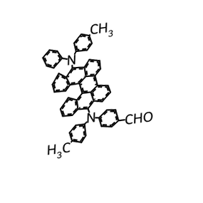 Cc1ccc(N(c2ccccc2)c2c3ccccc3c3c4c2cccc4c2cccc4c(N(c5ccc(C)cc5)c5ccc(C=O)cc5)c5ccccc5c3c42)cc1